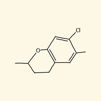 Cc1cc2c(cc1Cl)OC(C)CC2